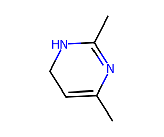 CC1=CCNC(C)=N1